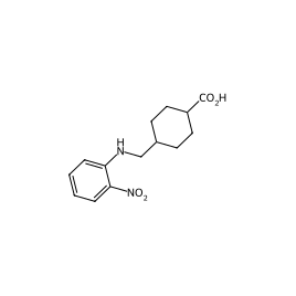 O=C(O)C1CCC(CNc2ccccc2[N+](=O)[O-])CC1